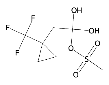 CS(=O)(=O)OC(O)(O)CC1(C(F)(F)F)CC1